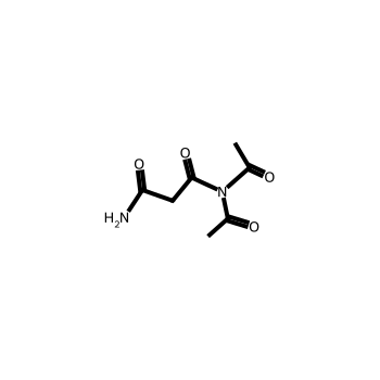 CC(=O)N(C(C)=O)C(=O)CC(N)=O